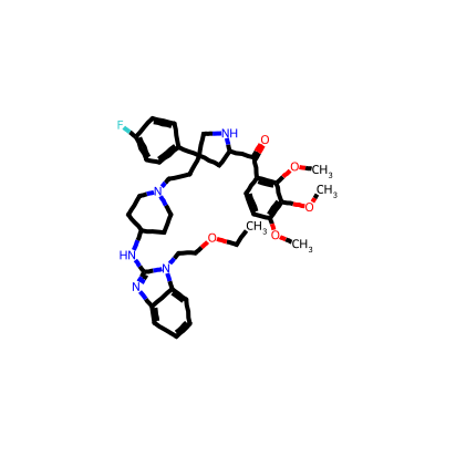 CCOCCn1c(NC2CCN(CCC3(c4ccc(F)cc4)CNC(C(=O)c4ccc(OC)c(OC)c4OC)C3)CC2)nc2ccccc21